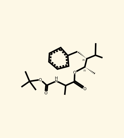 CC(NC(=O)OC(C)(C)C)C(=O)O[C@@H](C)[C@H](Cc1ccccc1)C(C)C